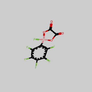 O=C1O[B-](F)(c2c(F)c(F)c(F)c(F)c2F)OC1=O